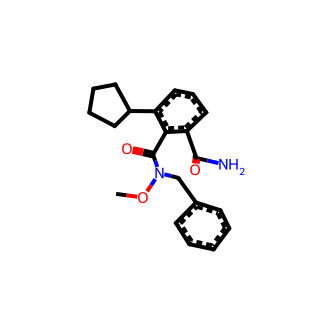 CON(Cc1ccccc1)C(=O)c1c(C(N)=O)cccc1C1CCCC1